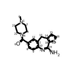 CN1CCN(C(=O)c2ccc3c(c2)Cc2ccsc2C(N)=N3)CC1